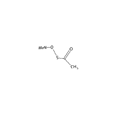 CNOSC(C)=O